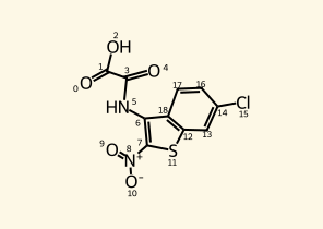 O=C(O)C(=O)Nc1c([N+](=O)[O-])sc2cc(Cl)ccc12